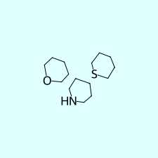 C1CCNCC1.C1CCOCC1.C1CCSCC1